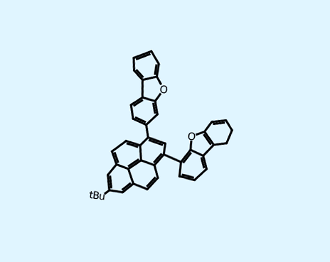 CC(C)(C)c1cc2ccc3c(-c4ccc5c(c4)oc4ccccc45)cc(-c4cccc5c6c(oc45)C=CCC6)c4ccc(c1)c2c34